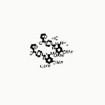 COc1cc2nc(N3CCN(C(=O)c4ccco4)CC3)nc(N)c2cc1OC.COc1cc2nc(N3CCN(C(=O)c4ccco4)CC3)nc(N)c2cc1OC.Cl